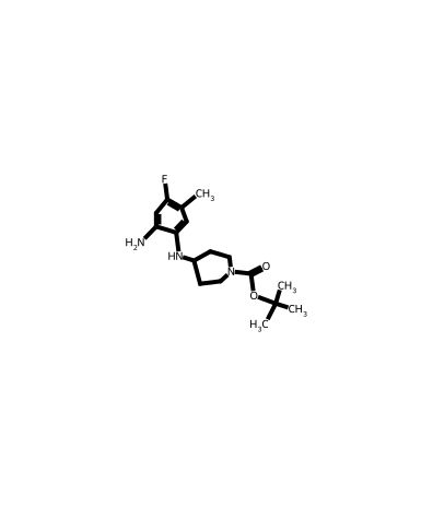 Cc1cc(NC2CCN(C(=O)OC(C)(C)C)CC2)c(N)cc1F